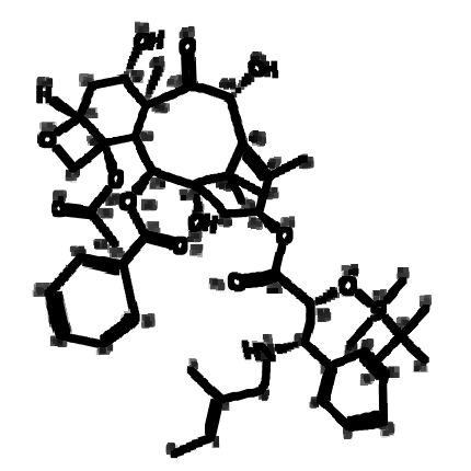 C/C=C(\C)CN[C@@H](c1ccccc1)[C@@H](O[Si](C)(C)C(C)(C)C)C(=O)O[C@H]1C[C@@]2(O)[C@@H](OC(=O)c3ccccc3)C3[C@](C)(C(=O)[C@H](O)C(=C1C)C2(C)C)[C@@H](O)C[C@H]1OC[C@@]31OC(C)=O